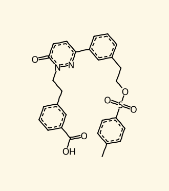 Cc1ccc(S(=O)(=O)OCCc2cccc(-c3ccc(=O)n(CCc4cccc(C(=O)O)c4)n3)c2)cc1